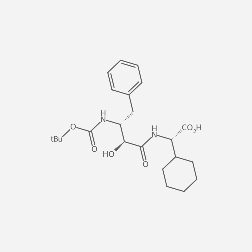 CC(C)(C)OC(=O)N[C@H](Cc1ccccc1)[C@H](O)C(=O)N[C@H](C(=O)O)C1CCCCC1